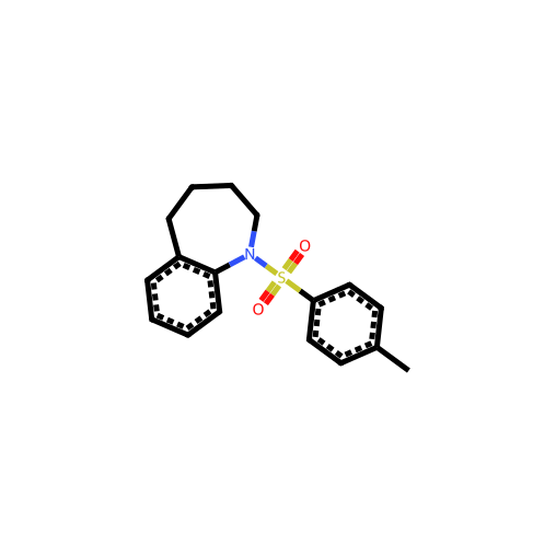 Cc1ccc(S(=O)(=O)N2CCCCc3ccccc32)cc1